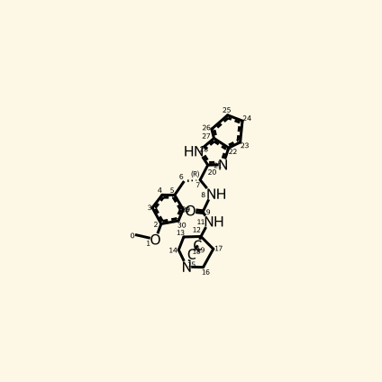 COc1ccc(C[C@@H](NC(=O)NC23CCN(CC2)CC3)c2nc3ccccc3[nH]2)cc1